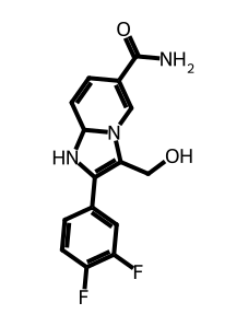 NC(=O)C1=CN2C(CO)=C(c3ccc(F)c(F)c3)NC2C=C1